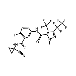 Cn1nc(C(F)(F)C(F)(F)F)c(C(F)(F)F)c1C(=O)Nc1ccc(F)c(C(=O)NC2(C#N)CC2)c1